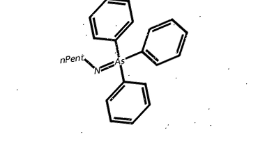 CCCCCN=[As](c1ccccc1)(c1ccccc1)c1ccccc1